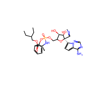 CCC(CC)COC(=O)[C@H](C)NP(=O)(OCC1O[C@@](/C=N\C)(c2ccc3c(N)ncnn23)[C@H](O)[C@@H]1O)Oc1ccccc1